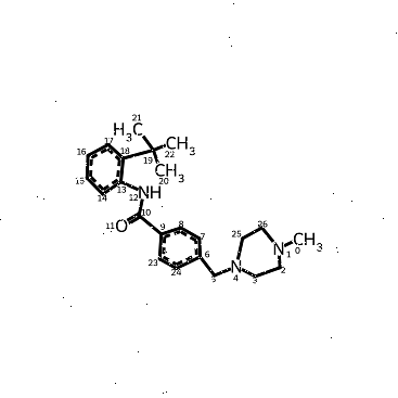 CN1CCN(Cc2ccc(C(=O)Nc3ccccc3C(C)(C)C)cc2)CC1